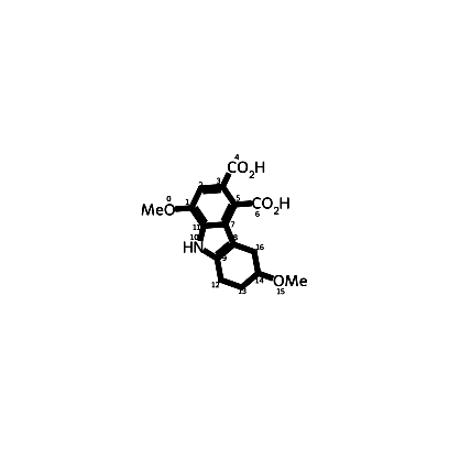 COc1cc(C(=O)O)c(C(=O)O)c2c3c([nH]c12)CCC(OC)C3